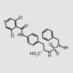 CC(C)N(Cc1ccccc1)S(=O)(=O)N[C@@H](Cc1ccc(NC(=O)c2c(Cl)cncc2Cl)cc1)C(=O)O